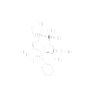 CC1=[C]([Zr]([CH3])(=[SiH2])([C]2=C(C)C=C(C(C)(C)C)C2)[c]2ccccc2)CC(C(C)(C)C)=C1.Cl.Cl